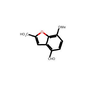 COc1ccc(C=O)c2cc(C(=O)O)oc12